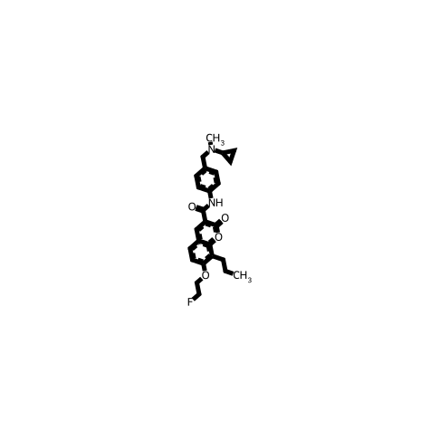 CCCc1c(OCCF)ccc2cc(C(=O)Nc3ccc(CN(C)C4CC4)cc3)c(=O)oc12